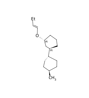 CCC=CO[C@@H]1CCC[C@@H]([C@H]2CC[C@H](C)CC2)C1